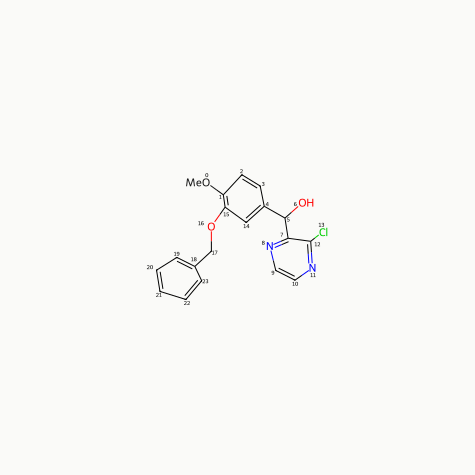 COc1ccc(C(O)c2nccnc2Cl)cc1OCc1ccccc1